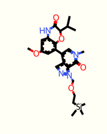 COc1cc2c(c(-c3cn(C)c(=O)c4c3cnn4COCC[Si](C)(C)C)c1)OC(C(C)C)C(=O)N2